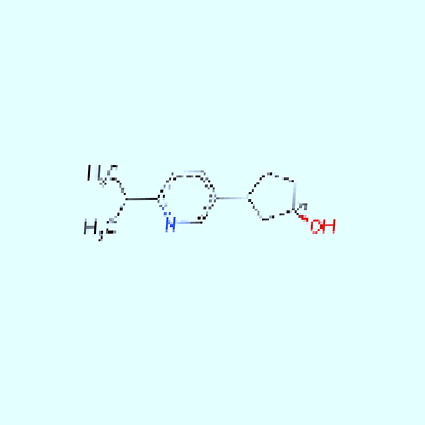 CC(C)c1ccc(C2CC[C@@H](O)C2)cn1